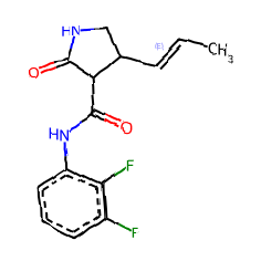 C/C=C/C1CNC(=O)C1C(=O)Nc1cccc(F)c1F